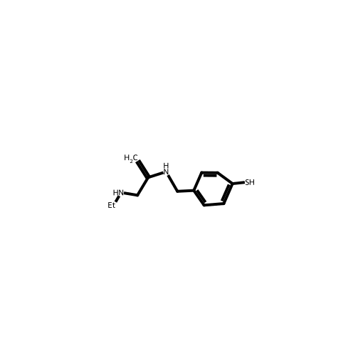 C=C(CNCC)NCc1ccc(S)cc1